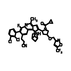 Cc1nc2c(F)c(-c3cccc(Cl)c3Cl)c(CCC#N)cc2c2c1cc(C1CC(OCc3cc(C(F)(F)F)on3)CN1C(=O)C1CC1)n2C1C2CNC1C2